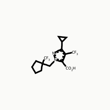 O=C(O)c1c(C(F)(F)F)c(C2CC2)nn1CC1(C(F)(F)F)CCCC1